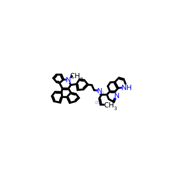 C/C=C\C(=N/CCc1ccc(C2c3c(c4ccccc4c4ccccc34)-c3ccccc3N2C)cc1)C1CC=NC2=C1CCC1=C2NCC=C1